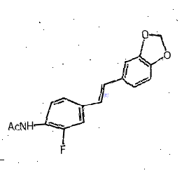 CC(=O)Nc1ccc(/C=C/c2ccc3c(c2)OCO3)cc1F